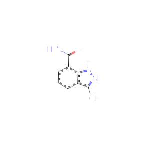 Cc1n[nH]c2c(C(N)=O)cccc12